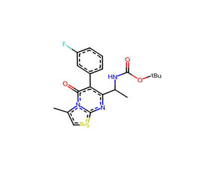 Cc1csc2nc(C(C)NC(=O)OC(C)(C)C)c(-c3cccc(F)c3)c(=O)n12